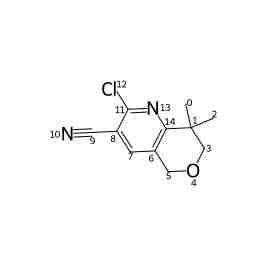 CC1(C)COCc2cc(C#N)c(Cl)nc21